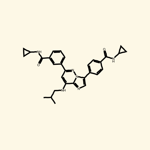 CC(C)CNc1cc(-c2cccc(C(=O)NC3CC3)c2)nn2c(-c3ccc(C(=O)NC4CC4)cc3)cnc12